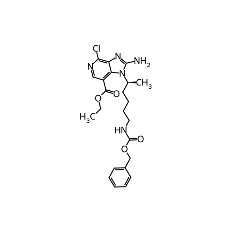 CCOC(=O)c1cnc(Cl)c2nc(N)n([C@@H](C)CCCCNC(=O)OCc3ccccc3)c12